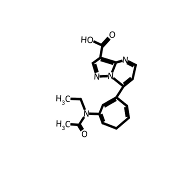 CCN(C(C)=O)C1=CCC=CC(c2ccnc3c(C(=O)O)cnn23)=C1